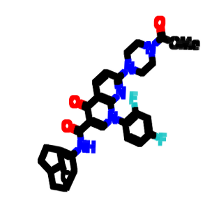 COC(=O)N1CCN(c2ccc3c(=O)c(C(=O)NC4=C5CCC6CC(C4)CC56)cn(-c4ccc(F)cc4F)c3n2)CC1